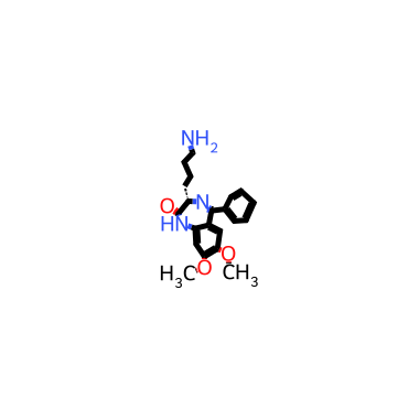 COc1cc2c(cc1OC)C(c1ccccc1)=N[C@@H](CCCCN)C(=O)N2